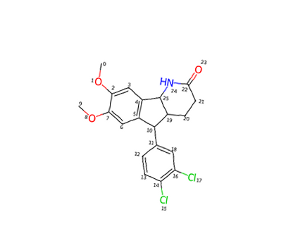 COc1cc2c(cc1OC)C(c1ccc(Cl)c(Cl)c1)C1CCC(=O)NC21